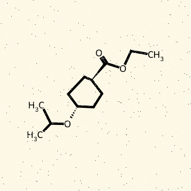 CCOC(=O)[C@H]1CC[C@H](OC(C)C)CC1